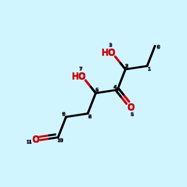 CCC(O)C(=O)C(O)CCC=O